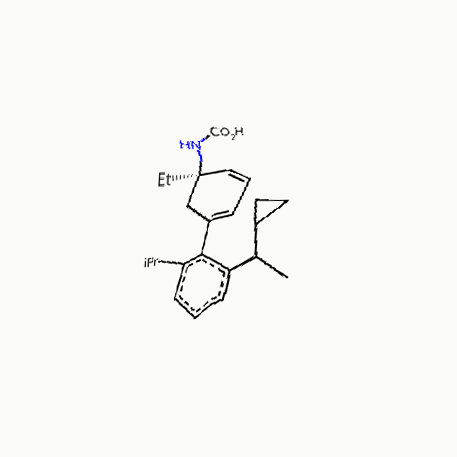 CC[C@]1(NC(=O)O)C=CC=C(c2c(C(C)C)cccc2C(C)C2CC2)C1